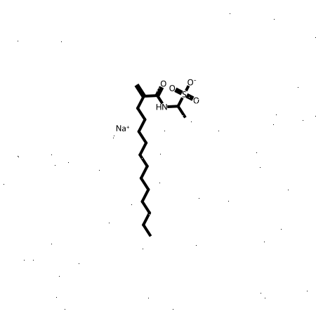 C=C(CCCCCCCCCCCC)C(=O)NC(C)S(=O)(=O)[O-].[Na+]